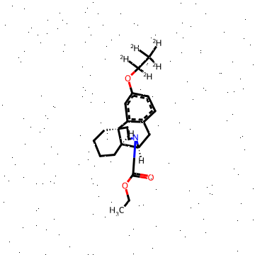 [2H]C([2H])([2H])C([2H])([2H])Oc1ccc2c(c1)[C@]13CCCC[C@@H]1[C@H](C2)N(C(=O)OCC)CC3